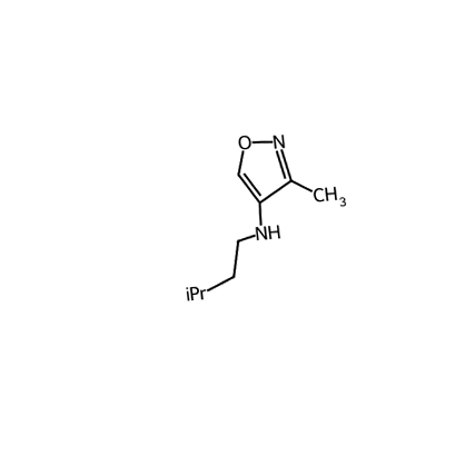 Cc1nocc1NCCC(C)C